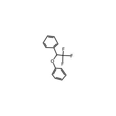 FC(F)(F)[C](Oc1ccccc1)c1ccccc1